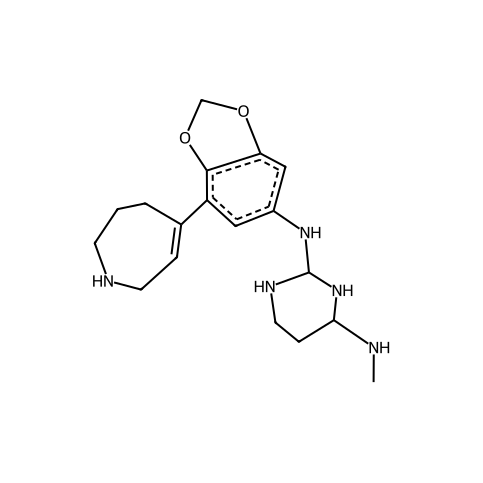 CNC1CCNC(Nc2cc3c(c(C4=CCNCCC4)c2)OCO3)N1